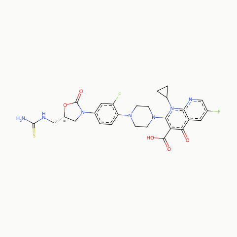 NC(=S)NC[C@H]1CN(c2ccc(N3CCN(c4c(C(=O)O)c(=O)c5cc(F)cnc5n4C4CC4)CC3)c(F)c2)C(=O)O1